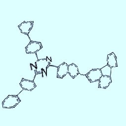 c1ccc(-c2ccc(-c3nc(-c4ccc(-c5ccccc5)cc4)nc(-c4ccc5cc(-c6cc7c8c(cccc8c6)-c6ccccc6-7)ccc5c4)n3)cc2)cc1